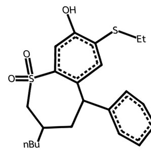 CCCCC1CC(c2ccccc2)c2cc(SCC)c(O)cc2S(=O)(=O)C1